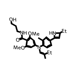 CC/C(C)=C\N(c1cc(OC)c(C(=O)NCCCO)c(OC)c1)c1ccc(C2=CC(CC)N2)cc1C